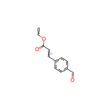 C=COC(=O)/C=C/c1ccc(C=O)cc1